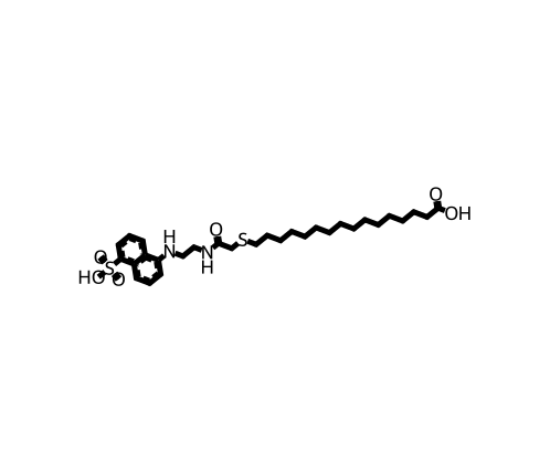 O=C(O)CCCCCCCCCCCCCCCSCC(=O)NCCNc1cccc2c(S(=O)(=O)O)cccc12